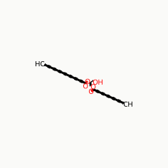 C#CC#CC#CC#CC#CC#CC#CC#CC(=O)O[C@@H](CO)COC(=O)C#CC#CC#CC#CC#CC#C